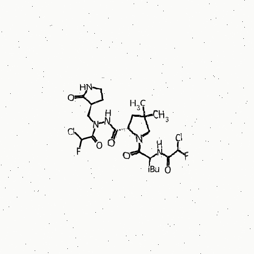 CCC(C)C(NC(=O)C(F)Cl)C(=O)N1CC(C)(C)C[C@H]1C(=O)NN(C[C@@H]1CCNC1=O)C(=O)C(F)Cl